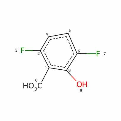 O=C(O)c1c(F)ccc(F)c1O